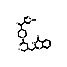 CC(C)CC(CC(=O)N1CCC(C(=O)c2cnn(C)c2)CC1)Cc1nc2ccccc2c(=O)[nH]1